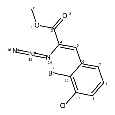 COC(=O)/C(=C/c1cccc(Cl)c1Br)N=[N+]=[N-]